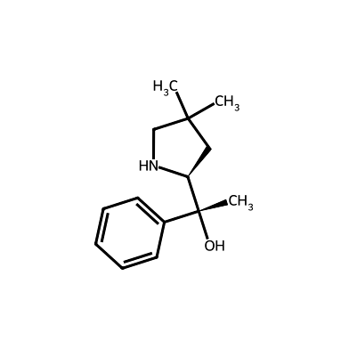 CC1(C)CN[C@H]([C@](C)(O)c2ccccc2)C1